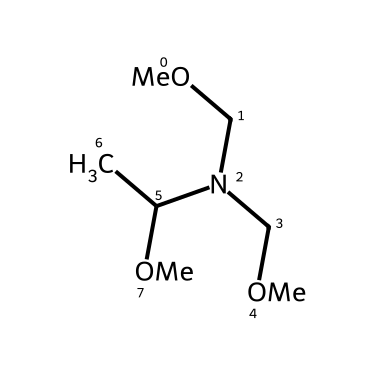 COCN(COC)C(C)OC